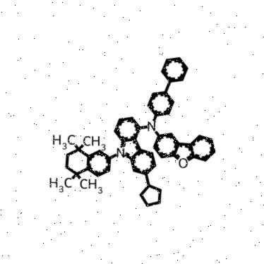 CC1(C)CCC(C)(C)c2cc(-n3c4cc(C5CCCC5)ccc4c4c(N(c5ccc(-c6ccccc6)cc5)c5ccc6oc7ccccc7c6c5)cccc43)ccc21